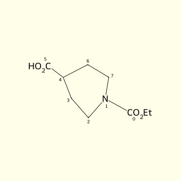 CCOC(=O)N1CCC(C(=O)O)CC1